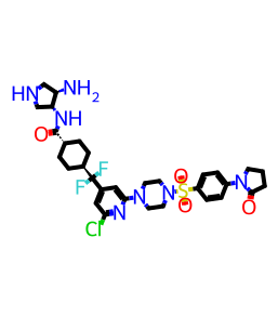 N[C@@H]1CNC[C@@H]1NC(=O)[C@H]1CC[C@H](C(F)(F)c2cc(Cl)nc(N3CCN(S(=O)(=O)c4ccc(N5CCCC5=O)cc4)CC3)c2)CC1